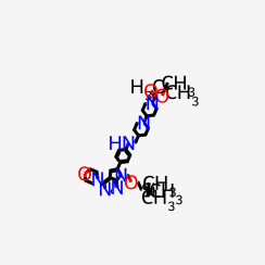 CC(C)(C)OC(=O)N1CCC(N2CCC(CNc3ccc(-c4cc5c(N6CCOCC6)ncnc5n4COCC[Si](C)(C)C)cc3)CC2)CC1